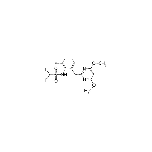 COc1cc(OC)nc(Cc2cccc(F)c2NS(=O)(=O)C(F)F)n1